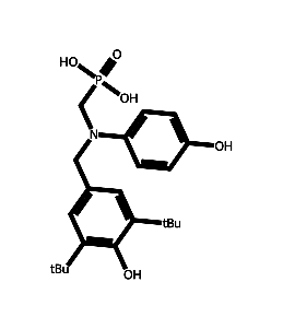 CC(C)(C)c1cc(CN(CP(=O)(O)O)c2ccc(O)cc2)cc(C(C)(C)C)c1O